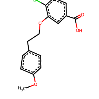 COc1ccc(CCOc2cc(C(=O)O)ccc2Cl)cc1